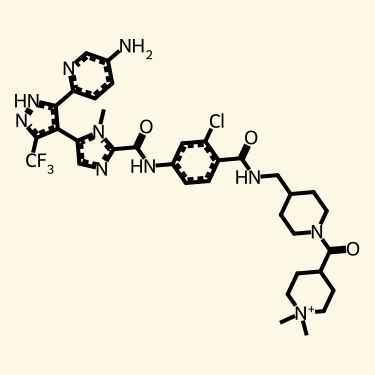 Cn1c(-c2c(C(F)(F)F)n[nH]c2-c2ccc(N)cn2)cnc1C(=O)Nc1ccc(C(=O)NCC2CCN(C(=O)C3CC[N+](C)(C)CC3)CC2)c(Cl)c1